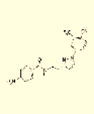 N#Cc1ccc(-n2ccc(CCNC(=O)c3ccc([N+](=O)[O-])cc3)n2)cc1C(F)(F)F